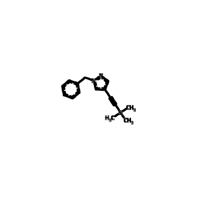 C[Si](C)(C)C#Cc1cnn(Cc2ccccc2)c1